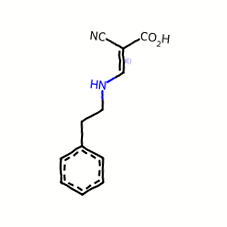 N#C/C(=C\NCCc1ccccc1)C(=O)O